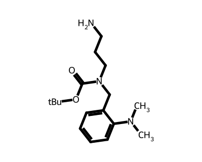 CN(C)c1ccccc1CN(CCCN)C(=O)OC(C)(C)C